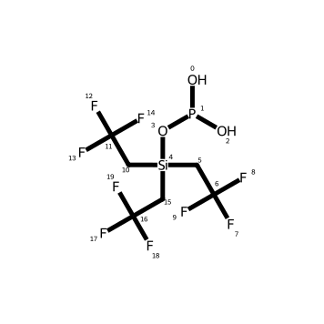 OP(O)O[Si](CC(F)(F)F)(CC(F)(F)F)CC(F)(F)F